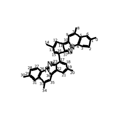 Cc1ccc2c(c1)c(C)cc1c3cc(C)cc(-c4cc(C)cc5c4nn4c6ccc(C)cc6c(C)cc54)c3nn21